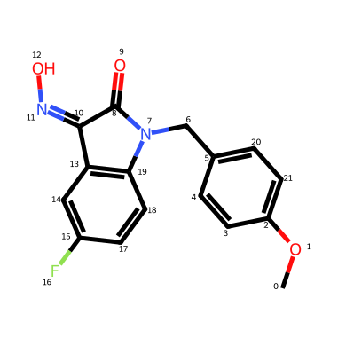 COc1ccc(CN2C(=O)/C(=N\O)c3cc(F)ccc32)cc1